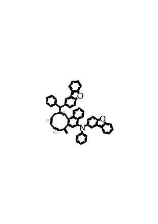 C=C1/C=C\C=C/C/C(C(c2ccccc2)c2ccc3oc4ccccc4c3c2)=C\c2c1cc(N(c1ccccc1)c1ccc3oc4ccccc4c3c1)c1ccccc21